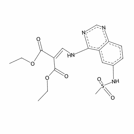 CCOC(=O)C(=CNc1ncnc2ccc(NS(C)(=O)=O)cc12)C(=O)OCC